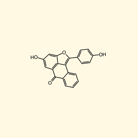 O=C1c2ccccc2-c2c(-c3ccc(O)cc3)oc3cc(O)cc1c23